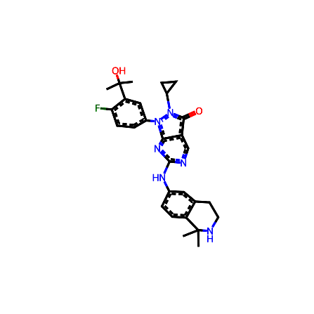 CC(C)(O)c1cc(-n2c3nc(Nc4ccc5c(c4)CCNC5(C)C)ncc3c(=O)n2C2CC2)ccc1F